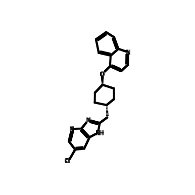 Clc1cnc2nc(C[C@H]3CC[C@H](Oc4ccnc5ccccc45)CC3)[nH]c2c1